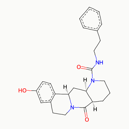 O=C1[C@@H]2CCCN(C(=O)NCCc3ccccc3)[C@@H]2C[C@@H]2c3ccc(O)cc3CCN12